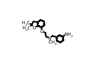 CN(CCOc1cccc2c1OC(C)(C)C2)Cc1cccc(N)c1